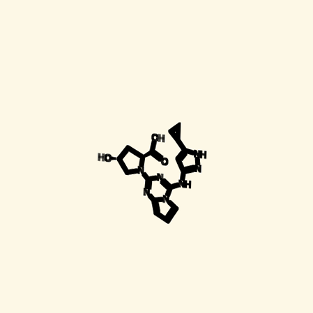 O=C(O)[C@@H]1C[C@@H](O)CN1c1nc(Nc2cc(C3CC3)[nH]n2)n2cccc2n1